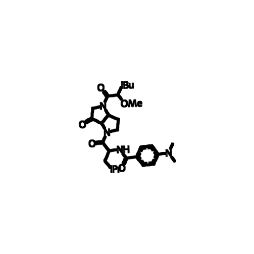 CCC(C)C(OC)C(=O)N1CC(=O)C2C1CCN2C(=O)C(CC(C)C)NC(=O)c1ccc(N(C)C)cc1